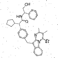 CCc1c(C)c(C)nc2c(Cc3ccc(C(C(=O)NC(CO)c4ccccc4)C4CCCC4)cc3)c3ccccc3n12